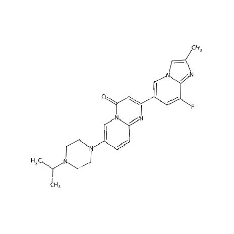 Cc1cn2cc(-c3cc(=O)n4cc(N5CCN(C(C)C)CC5)ccc4n3)cc(F)c2n1